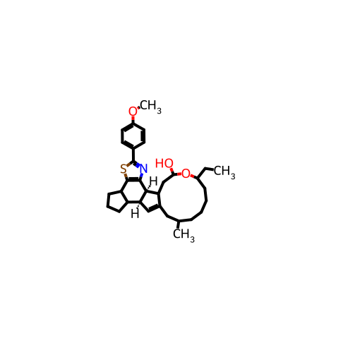 CCC1CCCCC(C)CC2=C[C@H]3C4CCCC4c4sc(-c5ccc(OC)cc5)nc4[C@H]3C2CC(O)O1